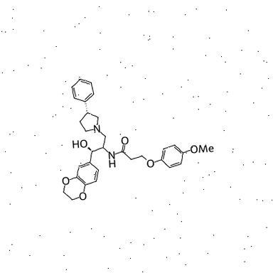 COc1ccc(OCCC(=O)NC(CN2CC[C@H](c3ccccc3)C2)[C@H](O)c2ccc3c(c2)OCCO3)cc1